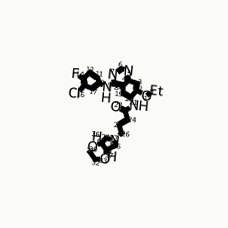 CCOc1cc2ncnc(Nc3ccc(F)c(Cl)c3)c2cc1NC(=O)C=CCN1C[C@@H]2OCCO[C@@H]2C1